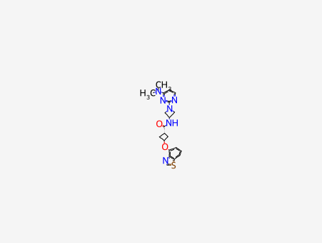 CN(C)c1ccnc(N2CC(NC(=O)[C@H]3C[C@H](Oc4cccc5scnc45)C3)C2)n1